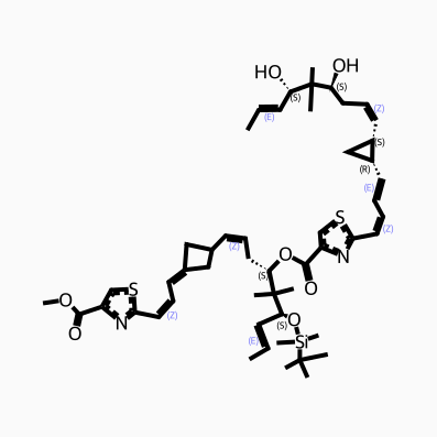 C/C=C/[C@H](O[Si](C)(C)C(C)(C)C)C(C)(C)[C@H](C/C=C\C1CC(=C/C=C\c2nc(C(=O)OC)cs2)C1)OC(=O)c1csc(/C=C\C=C\[C@@H]2C[C@@H]2/C=C\C[C@H](O)C(C)(C)[C@@H](O)/C=C/C)n1